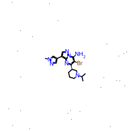 CC(C)N1CCC[C@@H](c2nc3c(-c4cnn(C)c4)cnn3c(N)c2Br)C1